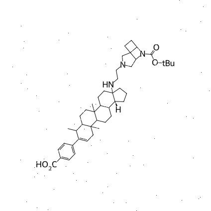 CC1C(c2ccc(C(=O)O)cc2)=CCC2(C)C1CCC1(C)C3CCC4(NCCN5CC6N(C(=O)OC(C)(C)C)C7CCC76C5)CCC[C@@H]4C3CCC21